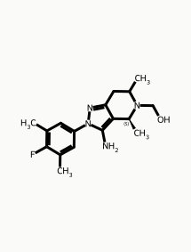 Cc1cc(-n2nc3c(c2N)[C@H](C)N(CO)C(C)C3)cc(C)c1F